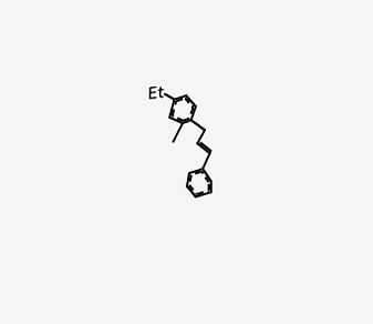 CCc1ccc(CC=Cc2ccccc2)c(C)c1